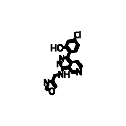 Oc1cc(Cl)ccc1-c1nnc(NCc2cocn2)c2cnccc12